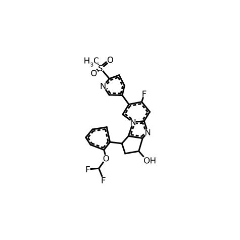 CS(=O)(=O)c1ccc(-c2cn3c4c(nc3cc2F)C(O)CC4c2ccccc2OC(F)F)cn1